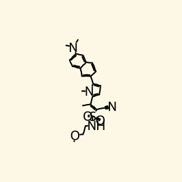 COCCNS(=O)(=O)/C(C#N)=C(\C)c1ccc(-c2ccc3cc(N(C)C)ccc3c2)n1C